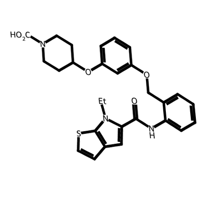 CCn1c(C(=O)Nc2ccccc2COc2cccc(OC3CCN(C(=O)O)CC3)c2)cc2ccsc21